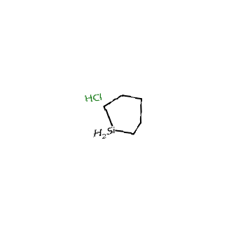 C1CC[SiH2]CC1.Cl